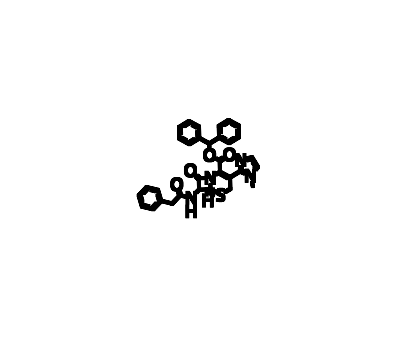 Cn1ccnc1C1=C(C(=O)OC(c2ccccc2)c2ccccc2)N2C(=O)C(NC(=O)Cc3ccccc3)[C@H]2SC1